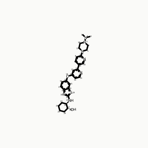 CN(C)N1CCN(c2ccc(-c3cc(Oc4ccc5nc(N[C@@H]6CCCC[C@H]6O)sc5c4)ccn3)cn2)CC1